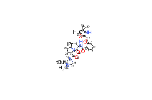 CC(C)C[C@@H](NC(=O)c1ccccc1OCC(=O)NC1(C)CC1)C(=O)N1CCC[C@@H]1C(=O)N1CCN(C)[C@@H](C(C)(C)C)C1